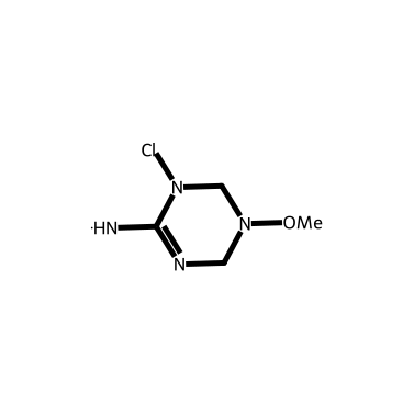 CON1CN=C([NH])N(Cl)C1